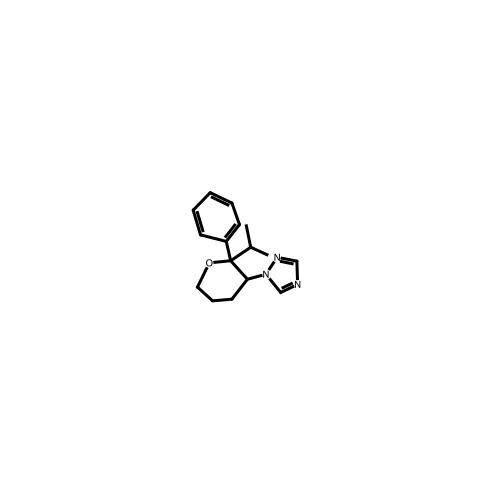 CC(C)C1(c2ccccc2)OCCCC1n1cncn1